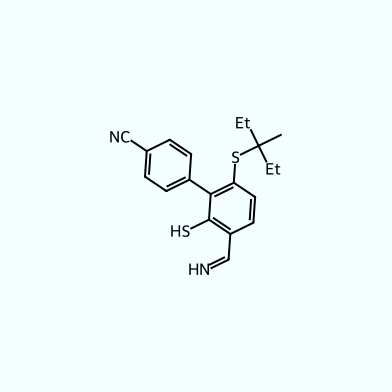 CCC(C)(CC)Sc1ccc(C=N)c(S)c1-c1ccc(C#N)cc1